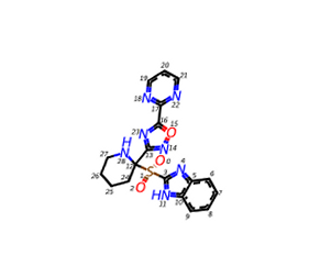 O=S(=O)(c1nc2ccccc2[nH]1)C1(c2noc(-c3ncccn3)n2)CCCCN1